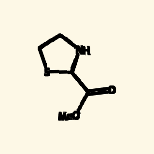 COC(=O)C1NCCS1